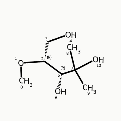 CO[C@H](CO)[C@@H](O)C(C)(C)O